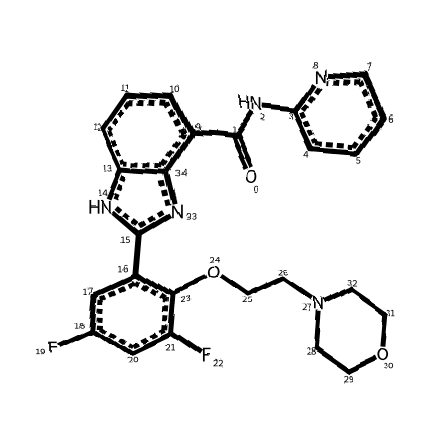 O=C(Nc1ccccn1)c1cccc2[nH]c(-c3cc(F)cc(F)c3OCCN3CCOCC3)nc12